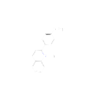 CCCCCCCc1ccc(-c2ccc3ccccc3n2)cc1.[Ir]